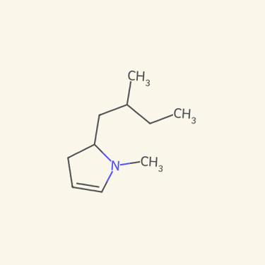 CCC(C)CC1CC=CN1C